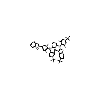 Cc1cc(-c2cc3ccccc3o2)cc(C)c1N1c2ccc(C(C)(C)C)cc2B2c3c1cccc3N(c1c(C)cc(C(C)(C)C)cc1C)c1sc3ccc(C(C)(C)C)cc3c12